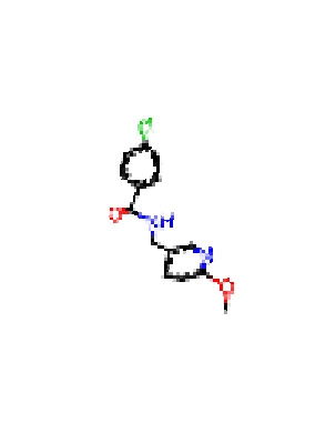 COc1ccc(CNC(=O)c2ccc(Cl)cc2)cn1